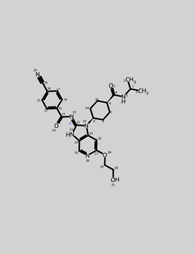 CC(C)NC(=O)[C@H]1CC[C@@H](n2/c(=N/C(=O)c3ccc(C#N)cc3)[nH]c3cnc(OCCO)cc32)CC1